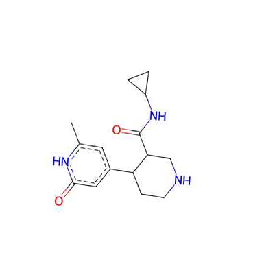 Cc1cc(C2CCNCC2C(=O)NC2CC2)cc(=O)[nH]1